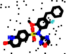 COc1cc(CC2CCCCC2)c(F)cc1N(c1ncon1)S(=O)(=O)c1ccc2[nH]c(=O)ccc2c1